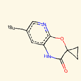 CC(C)(C)c1cnc2c(c1)NC(=O)C1(CC1)O2